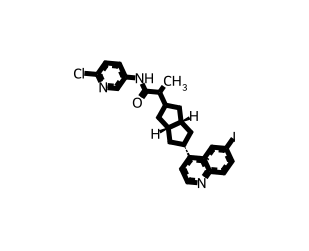 CC(C(=O)Nc1ccc(Cl)nc1)C1C[C@@H]2C[C@H](c3ccnc4ccc(I)cc34)C[C@@H]2C1